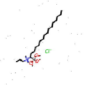 CCCCCCCCCCCCCCCC([N+](C)(C)CCC)[Si](OC)(OC)OC.[Cl-]